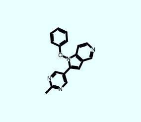 Cc1ncc(-c2cc3cnccc3n2Oc2ccccc2)cn1